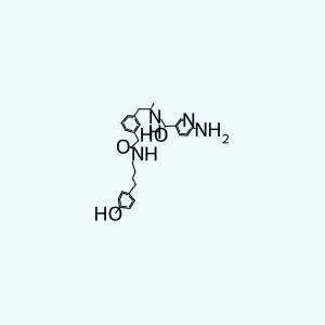 C[C@H](Cc1cccc(CC(=O)NCCCCc2ccc(O)cc2)c1)NC[C@@H](O)c1ccc(N)nc1